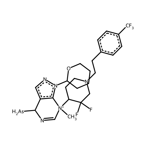 C[N+]1(C2CCN(CCc3ccc(C(F)(F)F)cc3)CC2(F)F)C=NC([AsH2])c2cnn(C3CCCCO3)c21